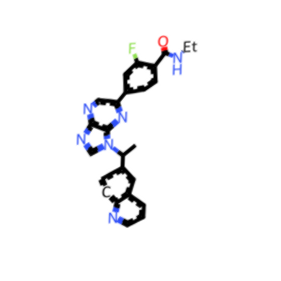 CCNC(=O)c1ccc(-c2cnc3ncn(C(C)c4ccc5ncccc5c4)c3n2)cc1F